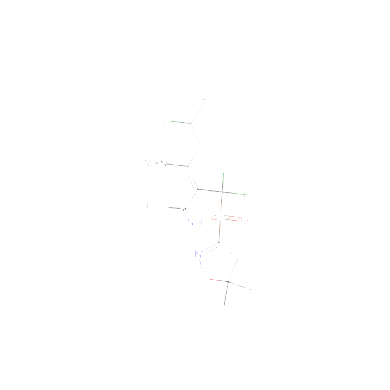 CN/C(OC(F)F)=C(\C(=N)C(F)(F)F)C(F)(F)S(=O)(=O)C1=NOC(C)(C)C1